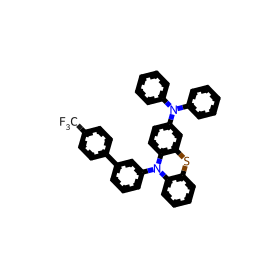 FC(F)(F)c1ccc(-c2cccc(N3c4ccccc4Sc4cc(N(c5ccccc5)c5ccccc5)ccc43)c2)cc1